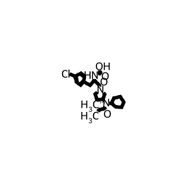 CC(C)C(=O)N(C1CCCCC1)[C@H]1CCN(C(=O)C(Cc2ccc(Cl)cc2)NC(=O)O)C1